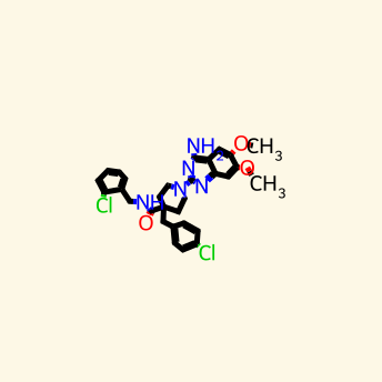 COc1cc2nc(N3CCC(Cc4ccc(Cl)cc4)(C(=O)NCc4ccccc4Cl)CC3)nc(N)c2cc1OC